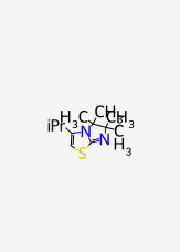 CC(C)C1=CSC2=NC(C)(C)C(C)(C)N12